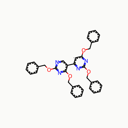 [c]1c(OCc2ccccc2)nc(OCc2ccccc2)nc1-c1cnc(OCc2ccccc2)nc1OCc1ccccc1